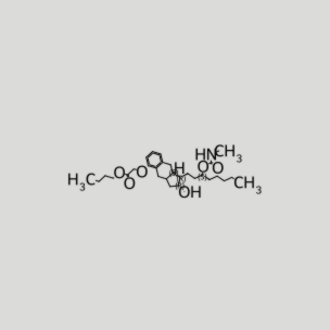 CCCCC[C@@H](CC[C@H]1[C@H](O)CC2Cc3c(cccc3OCC(=O)OCCCC)C[C@@H]21)OC(=O)NC